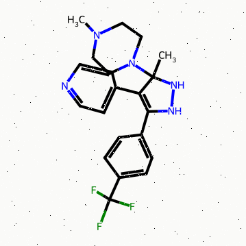 CN1CCN(C2(C)NNC(c3ccc(C(F)(F)F)cc3)=C2c2ccncc2)CC1